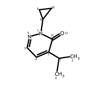 CC(C)c1ccnn(C2CC2)c1=O